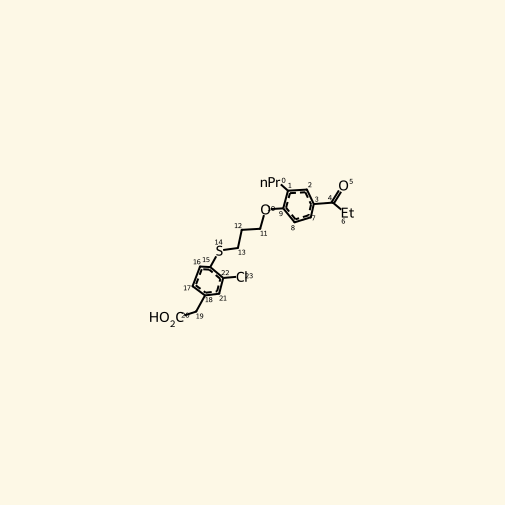 CCCc1cc(C(=O)CC)ccc1OCCCSc1ccc(CC(=O)O)cc1Cl